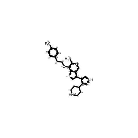 Nc1ncc2c(-c3c[nH]nc3C3CCNCC3)coc2c1OCCc1ccc(C(F)(F)F)cc1